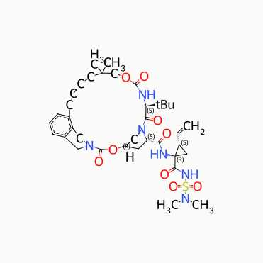 C=C[C@@H]1C[C@]1(NC(=O)[C@@H]1C[C@@H]2CN1C(=O)[C@H](C(C)(C)C)NC(=O)OCC(C)(C)CCCCc1cccc3c1CN(C3)C(=O)O2)C(=O)NS(=O)(=O)N(C)C